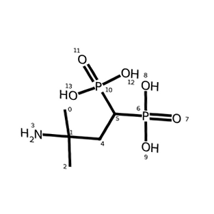 CC(C)(N)CC(P(=O)(O)O)P(=O)(O)O